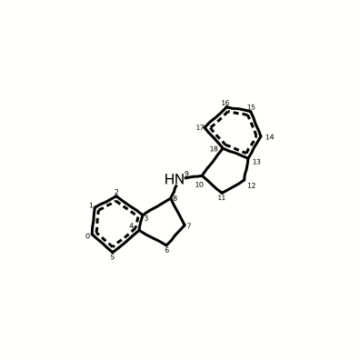 c1ccc2c(c1)CCC2NC1CCc2ccccc21